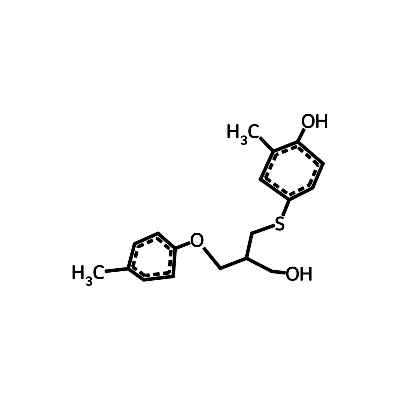 Cc1ccc(OCC(CO)CSc2ccc(O)c(C)c2)cc1